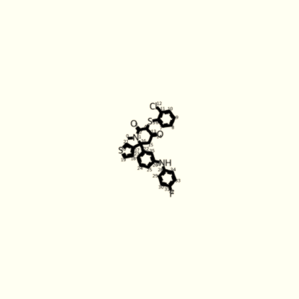 CN1C(=O)C(Sc2ccccc2Cl)C(=O)CC1(c1ccsc1)c1cccc(Nc2ccc(F)cc2)c1